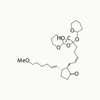 COCCCC/C=C/[C@H]1CCC(=O)[C@@H]1C/C=C\CCC(OC1CCCCO1)(OC1CCCCO1)C(=O)O